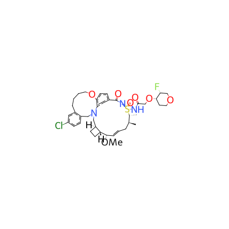 CO[C@H]1/C=C/C[C@H](C)[C@@H](C)S(=O)(NC(=O)CO[C@H]2CCOC[C@H]2F)=NC(=O)c2ccc3c(c2)N(Cc2ccc(Cl)cc2CCCCO3)C[C@@H]2CC[C@H]21